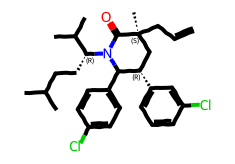 C=CC[C@@]1(C)C[C@H](c2cccc(Cl)c2)C(c2ccc(Cl)cc2)N([C@H](CCC(C)C)C(C)C)C1=O